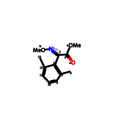 CO/N=C(/C(=O)OC)c1c(C)cccc1C